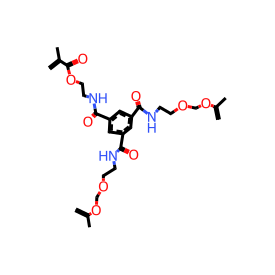 C=C(C)OCOCCNC(=O)c1cc(C(=O)NCCOCOC(=C)C)cc(C(=O)NCCOC(=O)C(=C)C)c1